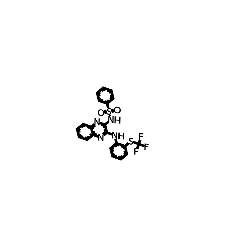 O=S(=O)(Nc1nc2ccccc2nc1Nc1ccccc1SC(F)(F)F)c1ccccc1